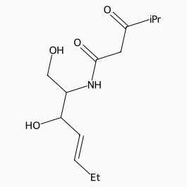 CCC=CC(O)C(CO)NC(=O)CC(=O)C(C)C